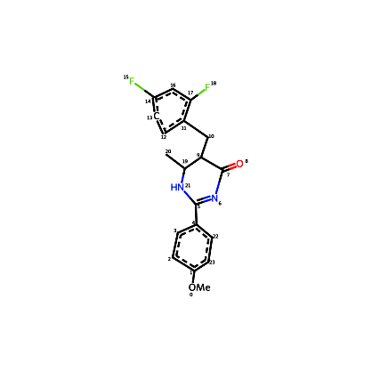 COc1ccc(C2=NC(=O)C(Cc3ccc(F)cc3F)C(C)N2)cc1